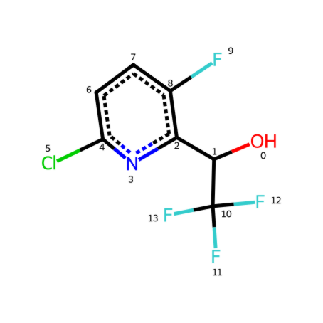 OC(c1nc(Cl)ccc1F)C(F)(F)F